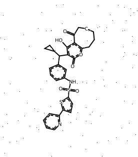 O=C1CCCCCc2oc(=O)c(C(c3cccc(NS(=O)(=O)c4ccc(-c5ccccn5)s4)c3)C3CC3)c(O)c21